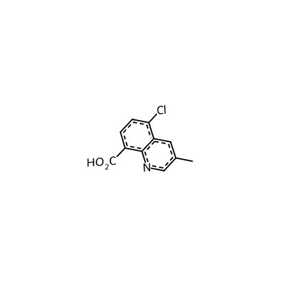 Cc1cnc2c(C(=O)O)ccc(Cl)c2c1